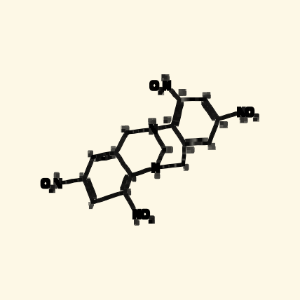 O=[N+]([O-])c1cc2c(c([N+](=O)[O-])c1)N1Cc3cc([N+](=O)[O-])cc([N+](=O)[O-])c3N(C2)C1